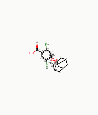 CO[C@]12CC3CC(C1)[C@H](Oc1cc(F)c(C(=O)O)cc1Cl)C(C3)C2